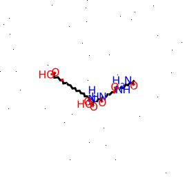 CC(=O)[C@@H](N)CCCCNC(=O)CCCCCNC(=O)CC[C@H](NC(=O)CCCCCCCCCCCCCCCCC(=O)O)C(=O)O